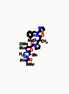 CC[C@@H](C)[C@H](NC(=O)[C@@H](NC)C(C)C)C(=O)N(C)[C@@H]([C@@H](C)CC)[C@@H](CC(=O)N1CCC[C@H]1[C@H](OC)[C@@H](C)C(=O)N[C@@H](Cc1ccccc1)c1nccs1)OC